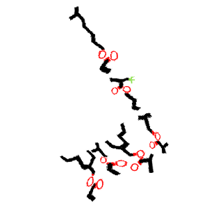 C=C(C)C(=O)OCC(C)C.C=C(C)C(=O)OCC(CC)CCCC.C=C(CF)C(=O)OCCCC.C=CC(=O)OCC(C)C.C=CC(=O)OCC(CC)CCCC.C=CC(=O)OCCCCCC(C)C